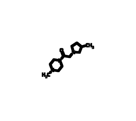 CC1CCN(CC(=O)N2CCN(C)CC2)C1